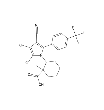 CC1(C(=O)O)CCCCC1n1c(Cl)c(Cl)c(C#N)c1-c1ccc(C(F)(F)F)cc1